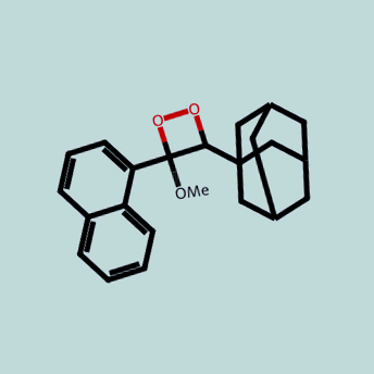 COC1(c2cccc3ccccc23)OOC1C12CC3CC(CC(C3)C1)C2